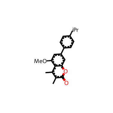 COc1cc(-c2ccc(C(C)C)cc2)cc2oc(=O)c(C)c(C)c12